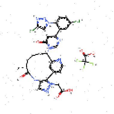 C[C@@H]1CCC[C@H](n2cnc(-c3cc(Cl)ccc3-n3cc(Cl)nn3)cc2=O)c2cc(ccn2)-c2c(cnn2CC(=O)O)NC1=O.O=C(O)C(F)(F)F